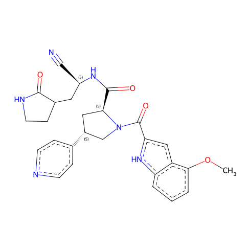 COc1cccc2[nH]c(C(=O)N3C[C@H](c4ccncc4)C[C@H]3C(=O)N[C@H](C#N)CC3CCNC3=O)cc12